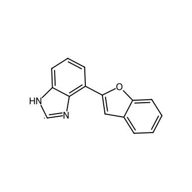 [c]1nc2c(-c3cc4ccccc4o3)cccc2[nH]1